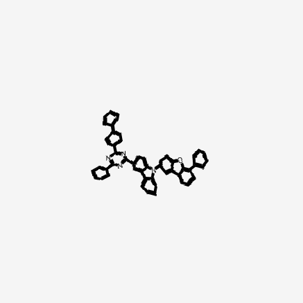 c1ccc(-c2ccc(-c3nc(-c4ccccc4)nc(-c4ccc5c(c4)c4ccccc4n5-c4ccc5oc6c(-c7ccccc7)cccc6c5c4)n3)cc2)cc1